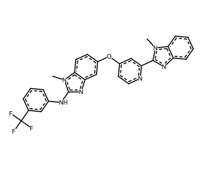 Cn1c(Nc2cccc(C(F)(F)F)c2)nc2cc(Oc3ccnc(-c4nc5ccccc5n4C)c3)ccc21